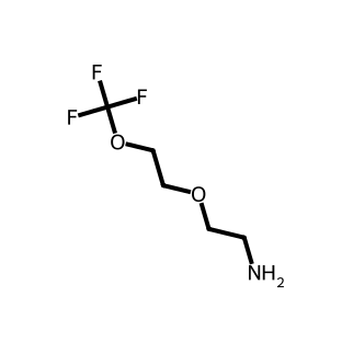 NCCOCCOC(F)(F)F